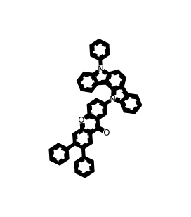 O=c1c2cc(-n3c4ccccc4c4ccc5c(c6ccccc6n5-c5ccccc5)c43)ccc2oc2cc(-c3ccccc3)c(-c3ccccc3)cc12